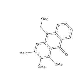 COc1cc2c(c(OC)c1OC)c(=O)c1ccccc1n2COC(C)=O